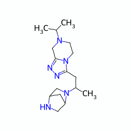 CC(C)N1CCn2c(CC(C)N3CC4CC3CN4)nnc2C1